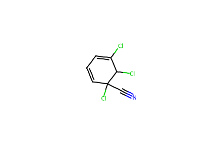 N#CC1(Cl)C=CC=C(Cl)C1Cl